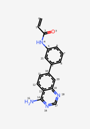 C=CC(=O)Nc1cccc(-c2ccc3c(N)ncnc3c2)c1